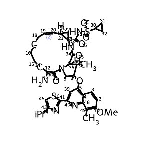 COc1ccc2c(O[C@H]3CN4C(=O)[C@@H](N)CCCCC/C=C\[C@@H]5C[C@@]5(C(=O)NS(=O)(=O)C5CC5)NC(=O)[C@@H]4C3C)cc(-c3nc(C(C)C)cs3)nc2c1C